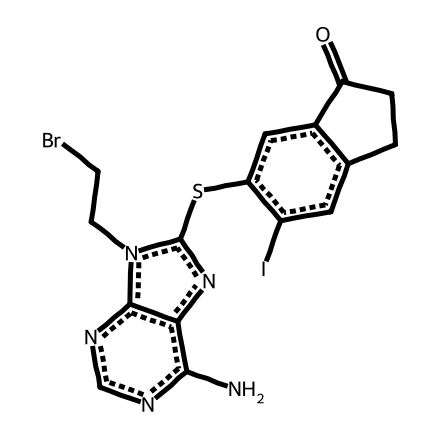 Nc1ncnc2c1nc(Sc1cc3c(cc1I)CCC3=O)n2CCBr